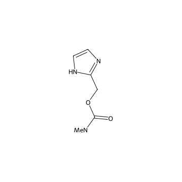 CNC(=O)OCc1ncc[nH]1